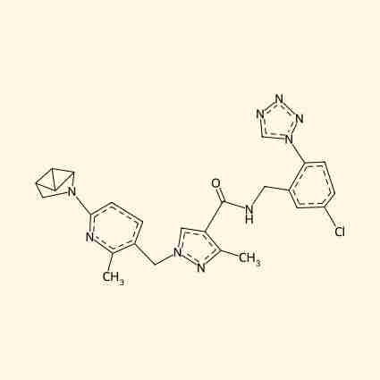 Cc1nc(N2CC3C4C3C42)ccc1Cn1cc(C(=O)NCc2cc(Cl)ccc2-n2cnnn2)c(C)n1